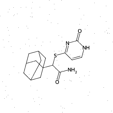 NC(=O)C(Sc1cc[nH]c(=O)n1)C12CC3CC(CC(C3)C1)C2